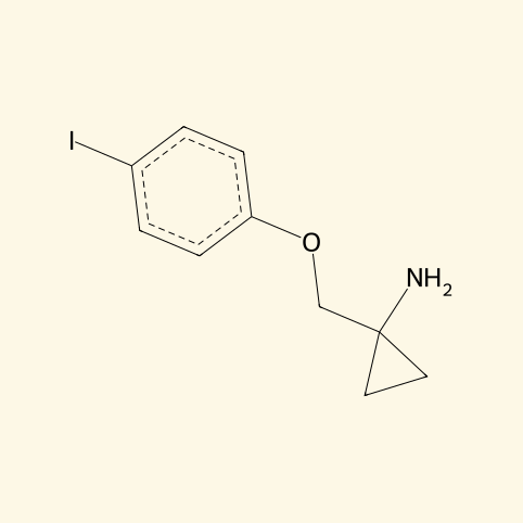 NC1(COc2ccc(I)cc2)CC1